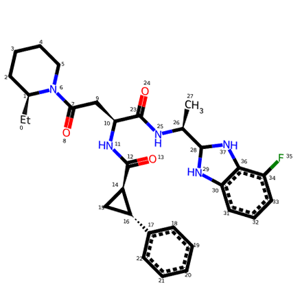 CC[C@H]1CCCCN1C(=O)C[C@H](NC(=O)[C@@H]1C[C@H]1c1ccccc1)C(=O)N[C@@H](C)C1Nc2cccc(F)c2N1